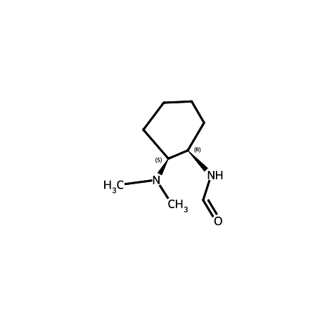 CN(C)[C@H]1CCCC[C@H]1NC=O